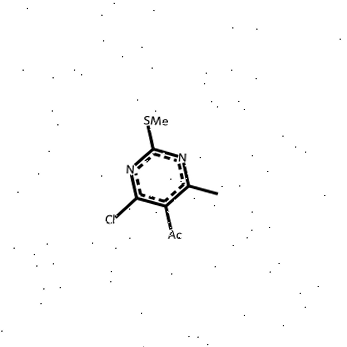 CSc1nc(C)c(C(C)=O)c(Cl)n1